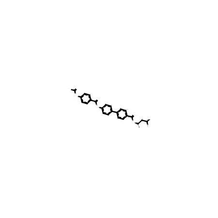 CCCC(=O)Oc1ccc(C(=O)Oc2ccc(-c3ccc(C(=O)O[C@H](C)CC(CC)CC)cc3)cc2)cc1